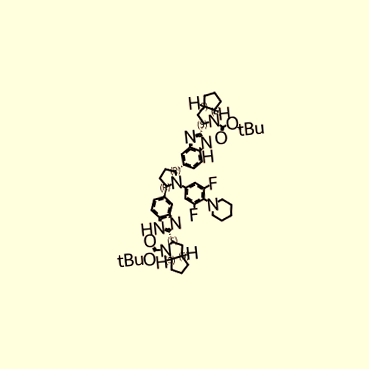 CC(C)(C)OC(=O)N1[C@H](c2nc3cc([C@H]4CC[C@H](c5ccc6[nH]c([C@@H]7C[C@@H]8CCC[C@@H]8N7C(=O)OC(C)(C)C)nc6c5)N4c4cc(F)c(N5CCCCC5)c(F)c4)ccc3[nH]2)C[C@@H]2CCC[C@@H]21